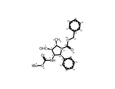 C[C@@H]1[C@H](C=O)[C@H](NC(=O)OC(C)(C)C)[C@H](c2ccccc2)N1C(=O)OCc1ccccc1